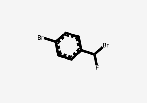 FC(Br)c1ccc(Br)cc1